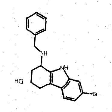 Brc1ccc2c3c([nH]c2c1)C(NCc1ccccc1)CCC3.Cl